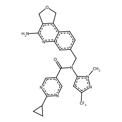 Cn1nc(C(F)(F)F)cc1N(Cc1ccc2c3c(c(N)nc2c1)COC3)C(=O)c1cnc(C2CC2)nc1